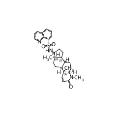 CN1C(=O)C=C[C@]2(C)[C@H]3CC[C@]4(C)[C@@H](NS(=O)(=O)c5cccc6cccnc56)CC[C@H]4[C@@H]3CC[C@@H]12